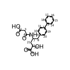 O=C(O)CC(=O)NC(Cc1ccc(-c2ccccc2)cc1)CC(O)C(=O)O